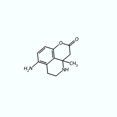 CC12CC(=O)Oc3ccc(N)c(c31)CCN2